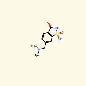 CN(C)Cc1ccc2c(c1)S(=N)(=O)NC2=O